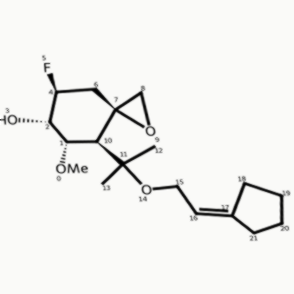 CO[C@@H]1[C@H](O)[C@@H](F)C[C@]2(CO2)[C@H]1C(C)(C)OCC=C1CCCC1